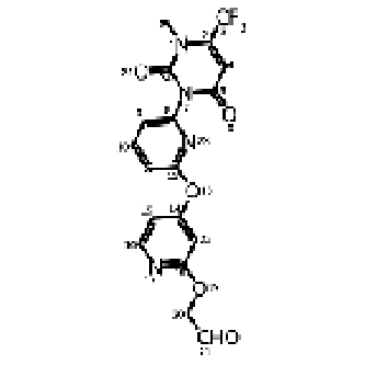 Cn1c(C(F)(F)F)cc(=O)n(-c2cccc(Oc3ccnc(OCC=O)c3)n2)c1=O